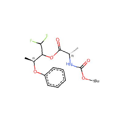 C[C@H](NC(=O)OC(C)(C)C)C(=O)OC(C(F)F)[C@H](C)Oc1ccccc1